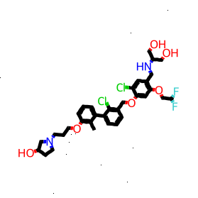 Cc1c(OCCCN2CCC(O)C2)cccc1-c1cccc(COc2cc(OCC(F)F)c(CNC(CO)CO)cc2Cl)c1Cl